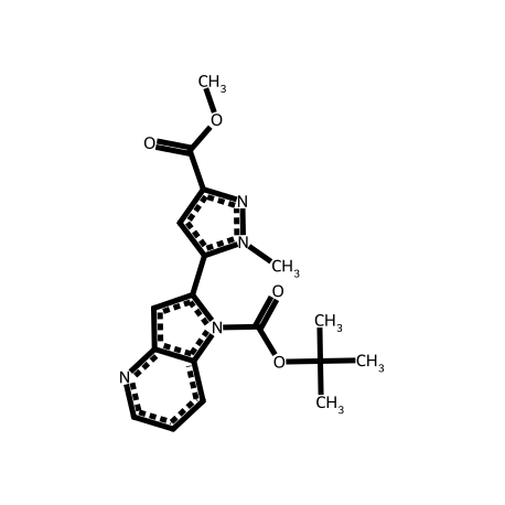 COC(=O)c1cc(-c2cc3ncccc3n2C(=O)OC(C)(C)C)n(C)n1